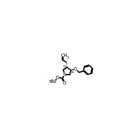 C=CC[C@H]1CN(C(=O)OC(C)(C)C)C[C@@H]1OCc1ccccc1